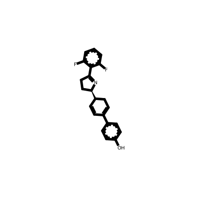 Oc1ccc(C2=CCC([C@H]3CCC(c4c(F)cccc4F)=N3)C=C2)cc1